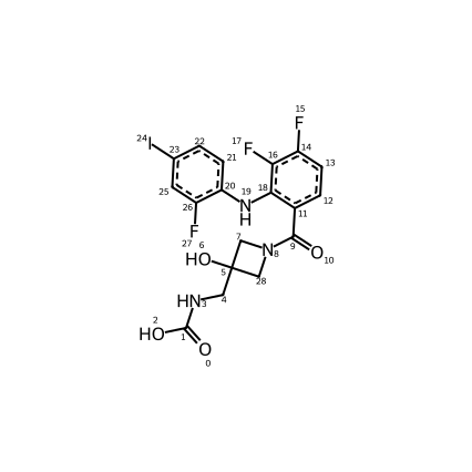 O=C(O)NCC1(O)CN(C(=O)c2ccc(F)c(F)c2Nc2ccc(I)cc2F)C1